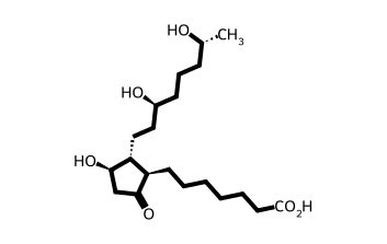 C[C@@H](O)CCC[C@H](O)CC[C@H]1[C@H](O)CC(=O)[C@@H]1CCCCCCC(=O)O